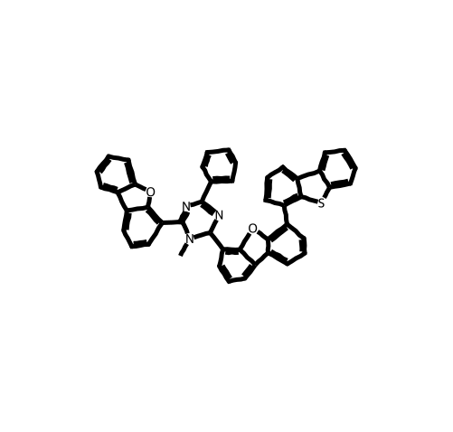 CN1C(c2cccc3c2oc2ccccc23)=NC(c2ccccc2)=NC1c1cccc2c1oc1c(-c3cccc4c3sc3ccccc34)cccc12